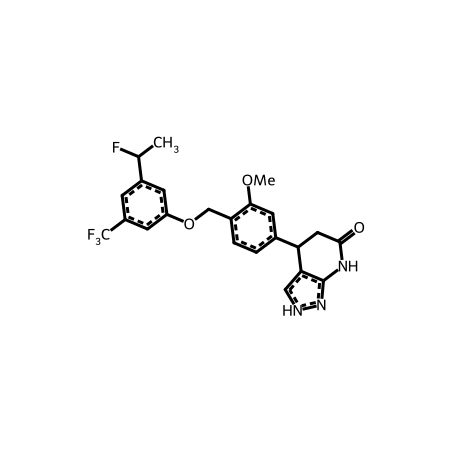 COc1cc(C2CC(=O)Nc3n[nH]cc32)ccc1COc1cc(C(C)F)cc(C(F)(F)F)c1